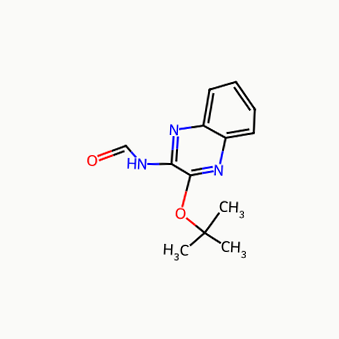 CC(C)(C)Oc1nc2ccccc2nc1NC=O